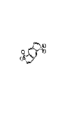 O=S1(=O)C=Cc2cc3c(cc21)C=CS3(=O)=O